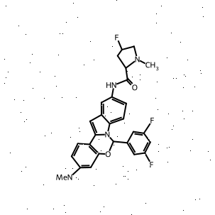 CNc1ccc2c(c1)OC(c1cc(F)cc(F)c1)n1c-2cc2cc(NC(=O)C3CC(F)CN3C)ccc21